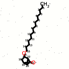 [CH2]CCCCCCCCCCCCCCCOC1CC2CC([O])C1C2